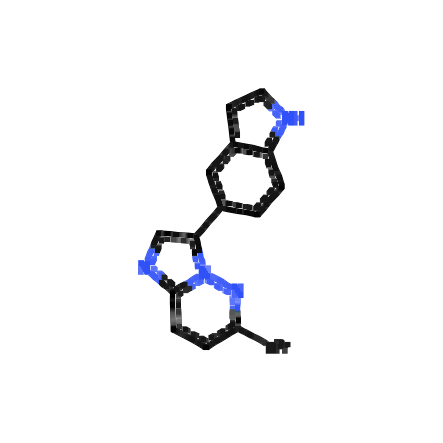 [CH2]CCc1ccc2ncc(-c3ccc4[nH]ccc4c3)n2n1